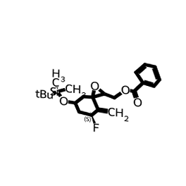 C=C1[C@@H](F)CC(O[Si](C)(C)C(C)(C)C)CC12OC2COC(=O)c1ccccc1